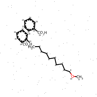 CCCCCCCCCCOC.O=C(O)c1ccccc1.O=C(O)c1ccccc1